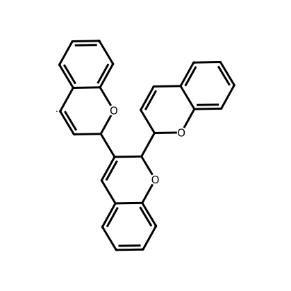 [C]1=CC(C2=Cc3ccccc3OC2C2C=Cc3ccccc3O2)Oc2ccccc21